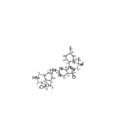 CC1(C)CNCc2cc(Nc3ncc4c(=O)n(CC(F)(F)F)n(-c5ccc(F)cc5)c4n3)ccc21